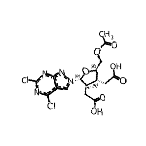 CC(=O)OC[C@@H]1O[C@@H](n2cc3c(Cl)nc(Cl)nc3n2)[C@H](CC(=O)O)[C@H]1CC(=O)O